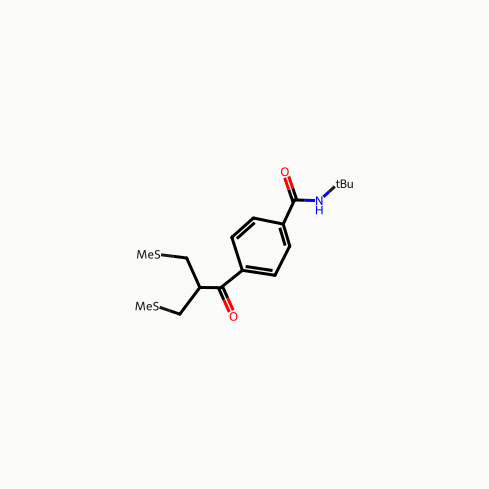 CSCC(CSC)C(=O)c1ccc(C(=O)NC(C)(C)C)cc1